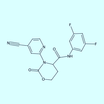 N#Cc1ccnc(N2C(=O)OCCC2C(=O)Nc2cc(F)cc(F)c2)c1